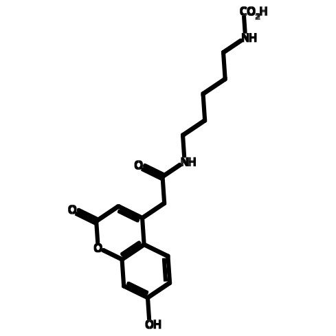 O=C(O)NCCCCCNC(=O)Cc1cc(=O)oc2cc(O)ccc12